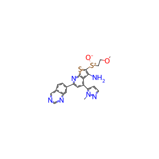 COCC[S@@+]([O-])c1sc2nc(-c3ccc4cncnc4c3)cc(-c3ccnn3C)c2c1N